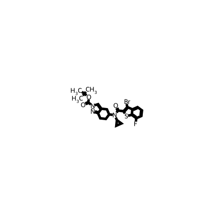 CC(C)(C)OC(=O)n1cc2c(n1)CCC(N(C(=O)c1sc3c(F)cccc3c1Br)C1CC1)C2